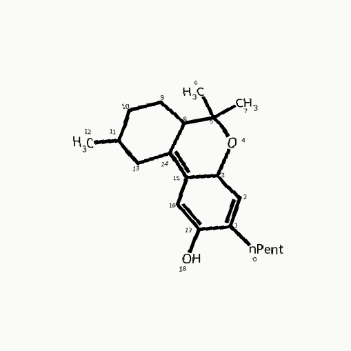 CCCCCC1=CC2OC(C)(C)C3CCC(C)CC3=C2C=C1O